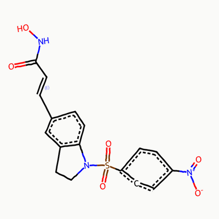 O=C(/C=C/c1ccc2c(c1)CCN2S(=O)(=O)c1ccc([N+](=O)[O-])cc1)NO